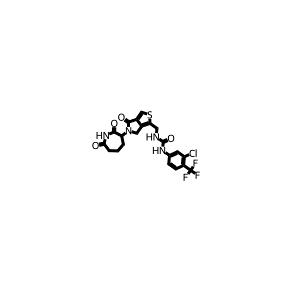 O=C1CCCC(N2Cc3c(csc3CNC(=O)Nc3ccc(C(F)(F)F)c(Cl)c3)C2=O)C(=O)N1